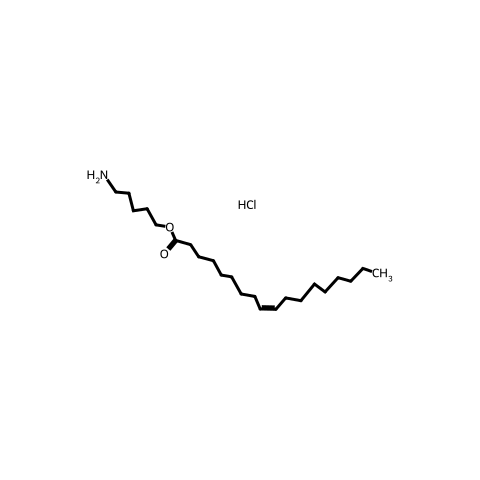 CCCCCCCC/C=C\CCCCCCCC(=O)OCCCCCN.Cl